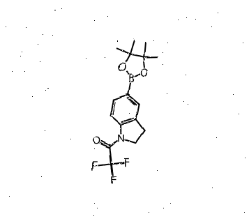 CC1(C)OB(c2ccc3c(c2)CCN3C(=O)C(F)(F)F)OC1(C)C